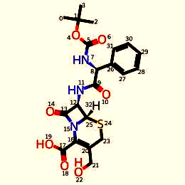 CC(C)(C)OC(=O)N[C@H](C(=O)N[C@@H]1C(=O)N2C(C(=O)O)=C(CO)CS[C@@H]12)c1ccccc1